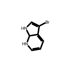 BrC1=CNC2NC=CC=C12